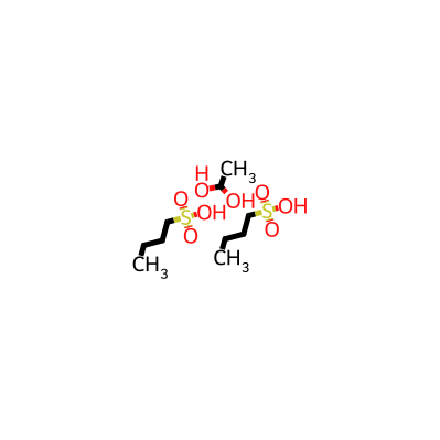 CC(O)O.CCCCS(=O)(=O)O.CCCCS(=O)(=O)O